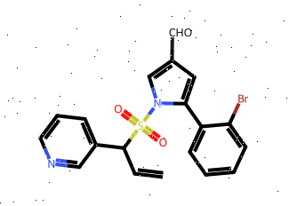 C=CC(c1cccnc1)S(=O)(=O)n1cc(C=O)cc1-c1ccccc1Br